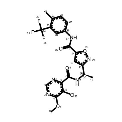 COc1ncnc(C(=O)N[C@H](C)c2cc(C(=O)Nc3ccc(C)c(C(F)(F)F)c3)on2)c1Cl